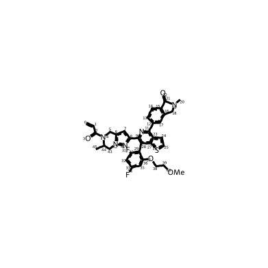 C=CC(=O)N1Cc2cc(-c3nc(-c4ccc5c(c4)CN(C)C5=O)c4ccsc4c3-c3c(F)cc(F)cc3OCCOC)nn2CC1C